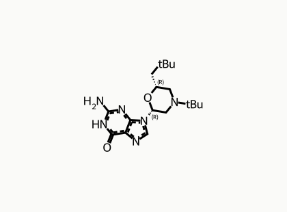 CC(C)(C)C[C@@H]1CN(C(C)(C)C)C[C@H](n2cnc3c(=O)[nH]c(N)nc32)O1